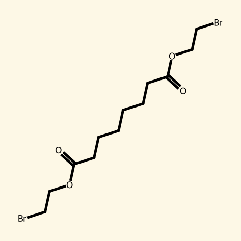 O=C(CCCCCCC(=O)OCCBr)OCCBr